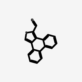 O=Cc1scc2c3ccccc3c3ccccc3c12